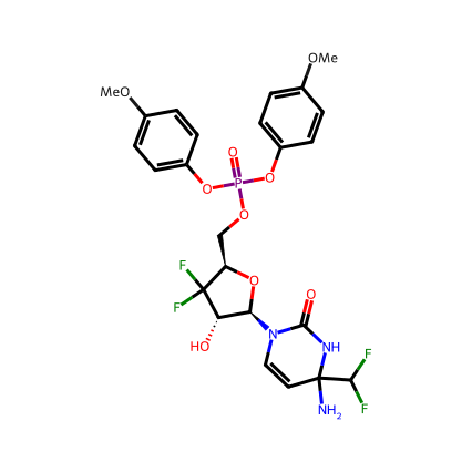 COc1ccc(OP(=O)(OC[C@H]2O[C@@H](N3C=CC(N)(C(F)F)NC3=O)[C@H](O)C2(F)F)Oc2ccc(OC)cc2)cc1